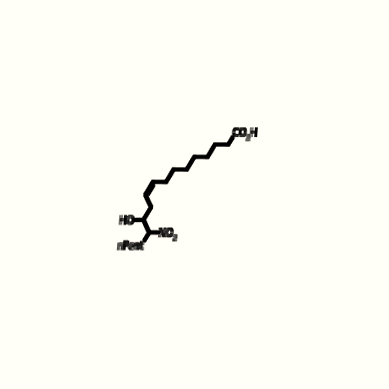 CCCCCC(C(O)C/C=C\CCCCCCCC(=O)O)[N+](=O)[O-]